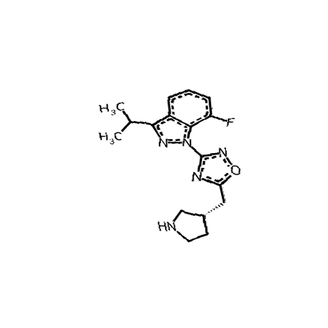 CC(C)c1nn(-c2noc(C[C@@H]3CCNC3)n2)c2c(F)cccc12